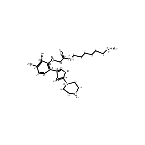 CC(=O)NCCCCCCNC(=O)COc1c(-c2csc(N3CCOCC3)n2)ccc(F)c1F